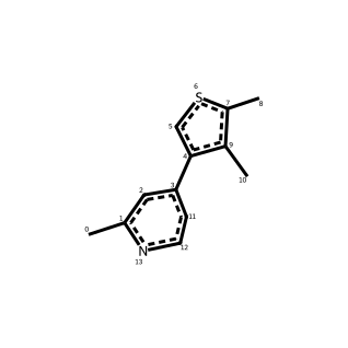 Cc1cc(-c2csc(C)c2C)ccn1